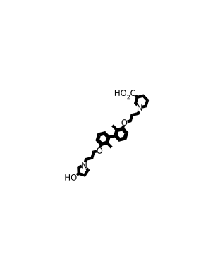 Cc1c(OCCCN2CCC(O)C2)cccc1-c1cccc(OCCCN2CCCC(C(=O)O)C2)c1C